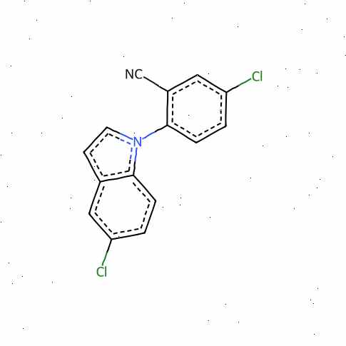 N#Cc1cc(Cl)ccc1-n1ccc2cc(Cl)ccc21